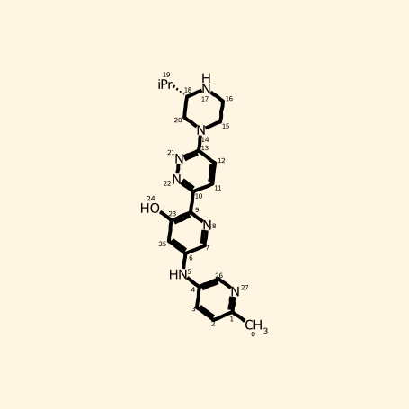 Cc1ccc(Nc2cnc(-c3ccc(N4CCN[C@@H](C(C)C)C4)nn3)c(O)c2)cn1